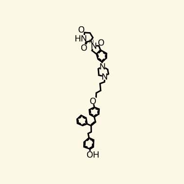 O=C1CC[C@H](N2Cc3cc(N4CCN(CCCCCOc5ccc(C=C(CCc6ccc(O)cc6)c6ccccc6)cc5)CC4)ccc3C2=O)C(=O)N1